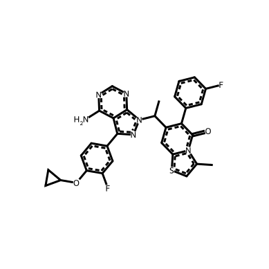 Cc1csc2cc(C(C)n3nc(-c4ccc(OC5CC5)c(F)c4)c4c(N)ncnc43)c(-c3cccc(F)c3)c(=O)n12